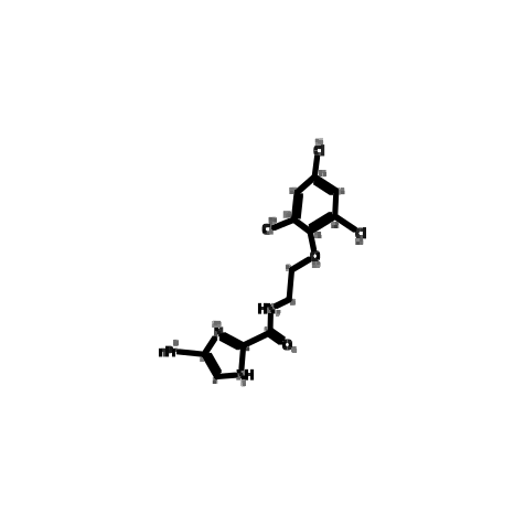 CCCc1c[nH]c(C(=O)NCCOc2c(Cl)cc(Cl)cc2Cl)n1